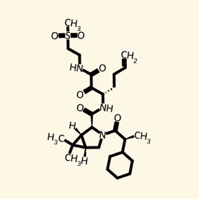 C=CCC[C@H](NC(=O)[C@@H]1[C@@H]2[C@H](CN1C(=O)[C@@H](C)C1CCCCC1)C2(C)C)C(=O)C(=O)NCCS(C)(=O)=O